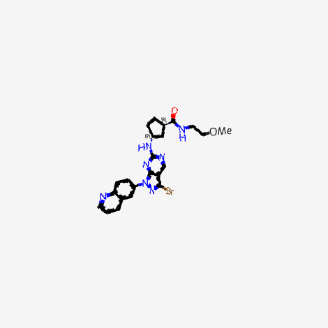 COCCNC(=O)[C@@H]1CC[C@@H](Nc2ncc3c(Br)nn(-c4ccc5ncccc5c4)c3n2)C1